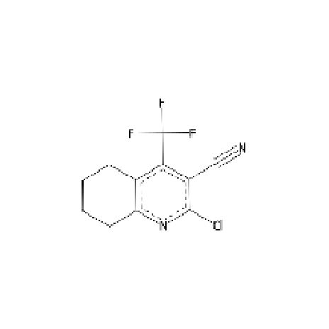 N#Cc1c(Cl)nc2c(c1C(F)(F)F)CCCC2